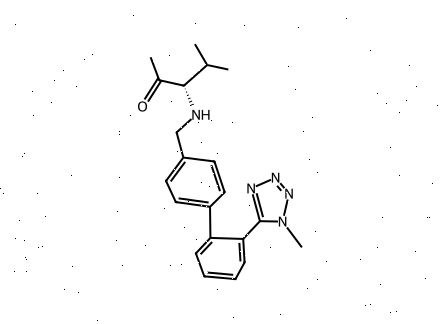 CC(=O)[C@@H](NCc1ccc(-c2ccccc2-c2nnnn2C)cc1)C(C)C